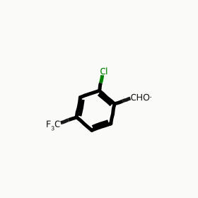 O=[C]c1ccc(C(F)(F)F)cc1Cl